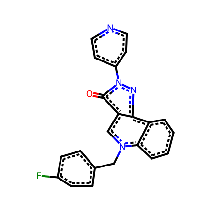 O=c1c2cn(Cc3ccc(F)cc3)c3ccccc3c-2nn1-c1ccncc1